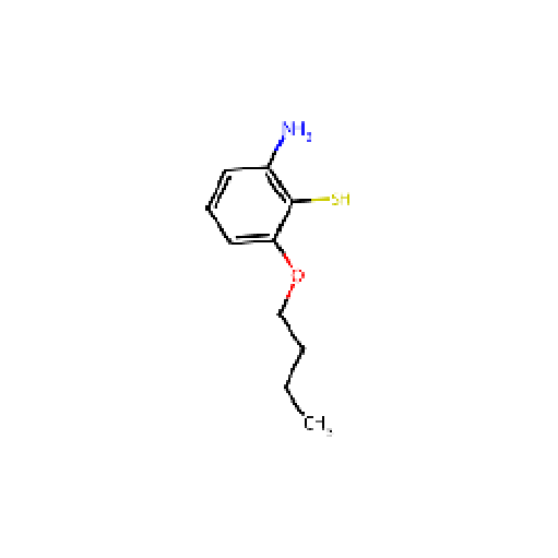 CCCCOc1cccc(N)c1S